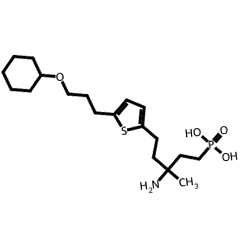 CC(N)(CCc1ccc(CCCOC2CCCCC2)s1)CCP(=O)(O)O